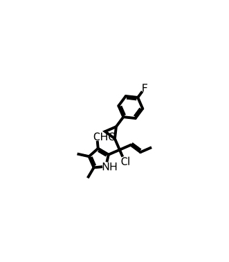 CC=CC(Cl)(c1[nH]c(C)c(C)c1C=O)C1CC1c1ccc(F)cc1